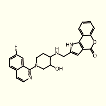 O=c1oc2ccccc2c2[nH]c(CNC3CCN(c4nccc5ccc(F)cc45)CC3O)cc12